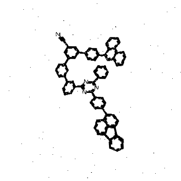 N#Cc1cc(-c2ccc(-c3cc4ccccc4c4ccccc34)cc2)cc(-c2cccc(-c3cccc(-c4nc(-c5ccccc5)nc(-c5ccc(-c6ccc7c8c(cccc68)-c6ccccc6-7)cc5)n4)c3)c2)c1